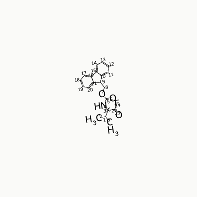 CC(C)[C@@H](NC(=O)OCC1c2ccccc2-c2ccccc21)C(=O)F